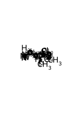 CCCCc1cn(-c2c(Cl)ccn2C(C)C)c(=O)n1Cc1cc(-c2cccc(-c3nnn[nH]3)c2)ccn1